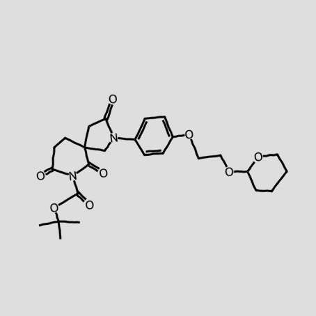 CC(C)(C)OC(=O)N1C(=O)CCC2(CC(=O)N(c3ccc(OCCOC4CCCCO4)cc3)C2)C1=O